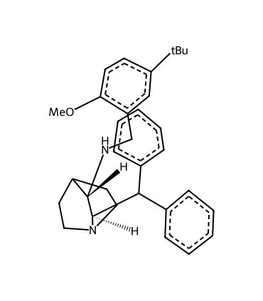 COc1ccc(C(C)(C)C)cc1CN[C@H]1C2CCN(CC2)[C@@H]1C(c1ccccc1)c1ccccc1